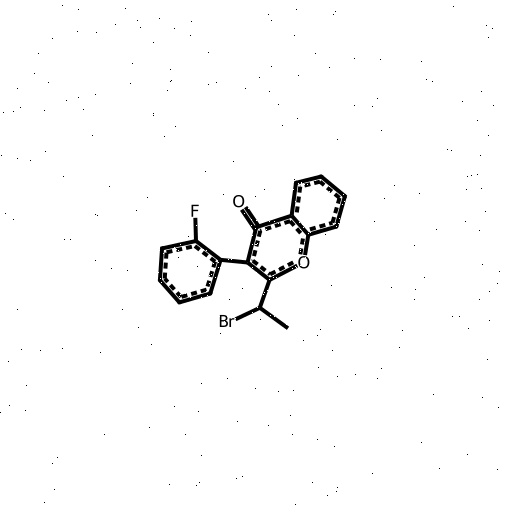 CC(Br)c1oc2ccccc2c(=O)c1-c1ccccc1F